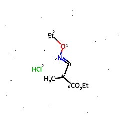 CCON=CC(C)C(=O)OCC.Cl